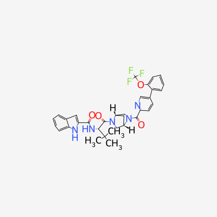 CC(C)(C)[C@H](NC(=O)c1cc2ccccc2[nH]1)C(=O)N1C[C@@H]2C[C@H]1CN2C(=O)c1ccc(-c2ccccc2OC(F)(F)F)cn1